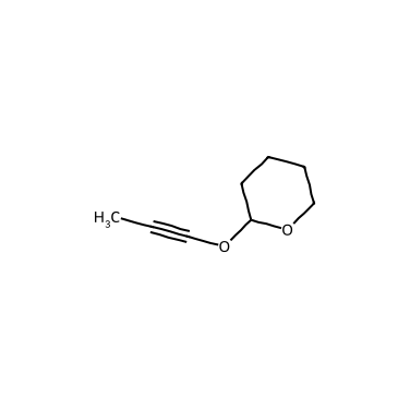 CC#COC1CCCCO1